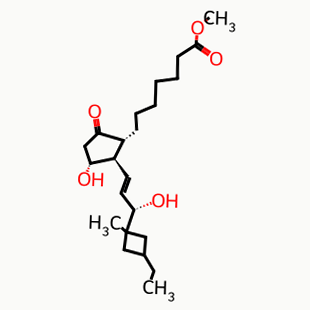 CCC1CC(C)([C@@H](O)/C=C/[C@H]2[C@H](O)CC(=O)[C@@H]2CCCCCCC(=O)OC)C1